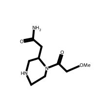 COCC(=O)N1CCNCC1CC(N)=O